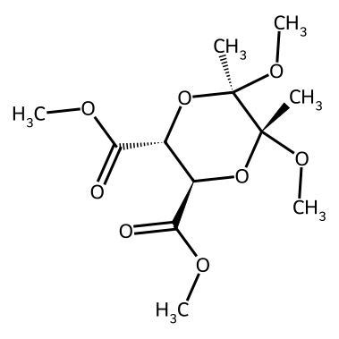 COC(=O)[C@@H]1O[C@@](C)(OC)[C@](C)(OC)O[C@H]1C(=O)OC